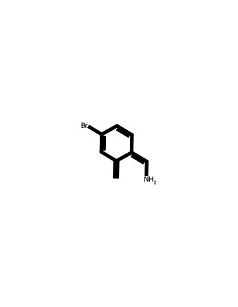 C=c1cc(Br)cc/c1=C/N